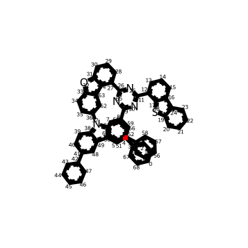 c1ccc(-c2cccc(-c3nc(-c4cccc5c4sc4ccccc45)nc(-c4cccc5oc6ccc(-n7c8ccc(-c9ccccc9)cc8c8cc(-c9ccccc9)ccc87)cc6c45)n3)c2)cc1